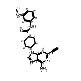 C#Cc1nc(N)c2ncn([C@H]3CC[C@@H](C(=O)Nc4cccc(OC)c4)CC3)c2n1